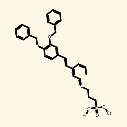 C\C=C/C(C=Cc1ccc(OCc2ccccc2)c(OCc2ccccc2)c1)=C\C=N\CCCP(=O)(OCC)OCC